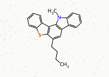 CCCCc1cc2c3ccccc3n(C)c2c2c1sc1ccccc12